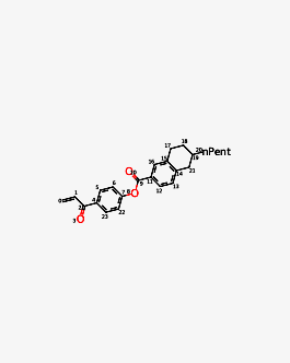 C=CC(=O)c1ccc(OC(=O)c2ccc3c(c2)CCC(CCCCC)C3)cc1